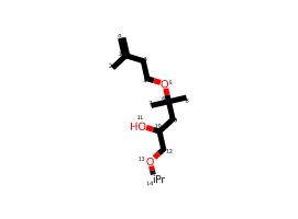 C=C(C)CCOC(C)(C)CC(O)COC(C)C